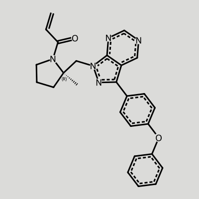 C=CC(=O)N1CCC[C@]1(C)Cn1nc(-c2ccc(Oc3ccccc3)cc2)c2cncnc21